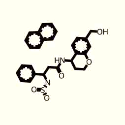 O=C(CC(N=S(=O)=O)c1ccccc1)NC1CCOc2cc(CO)ccc21.c1ccc2ccccc2c1